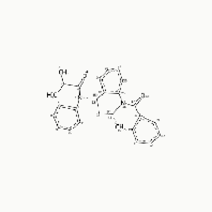 CC(C)C(=O)N(c1ccccc1)[C@H]1C[C@@H](C)N(C(=O)c2ccccc2)c2ccccc21